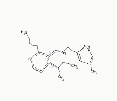 CC/C(C)=c1/ccnc(CCN)/c1=C/NCC1=CC(C)=CNC1